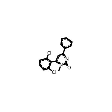 Cn1c(-c2c(Cl)cccc2Cl)cc(-c2ccccc2)nc1=O